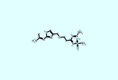 C/C(N)=N\c1nc(CSCC/C(N=NN)=N/S(N)(=O)=O)cs1